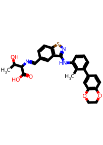 Cc1c(Nc2nsc3ccc(C=NC(C(=O)O)C(C)O)cc23)cccc1-c1ccc2c(c1)OCCO2